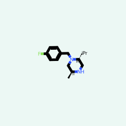 CC(C)[C@@H]1CN[C@@H](C)CN1Cc1ccc(F)cc1